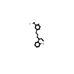 CN1C=C/C(=C\C=C\c2ccc(O)c(C(=O)O)c2)c2ccccc21